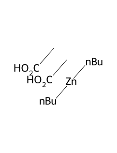 CC(=O)O.CC(=O)O.CCC[CH2][Zn][CH2]CCC